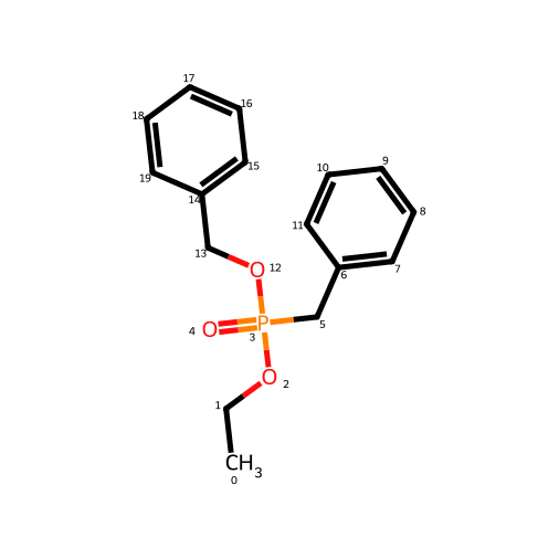 CCOP(=O)(Cc1ccccc1)OCc1ccccc1